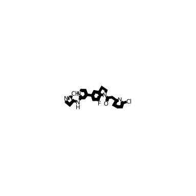 Cn1nccc1Nc1cc(-c2cc(F)c3c(c2)CCN3C(=O)Cc2cccc(Cl)n2)ccn1